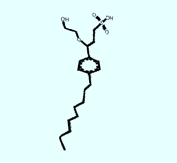 CCCCCCCCCc1ccc(C(CCS(=O)(=O)O)OCCO)cc1